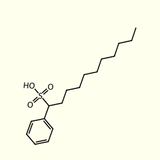 CCCCCCCCCCC(c1ccccc1)S(=O)(=O)O